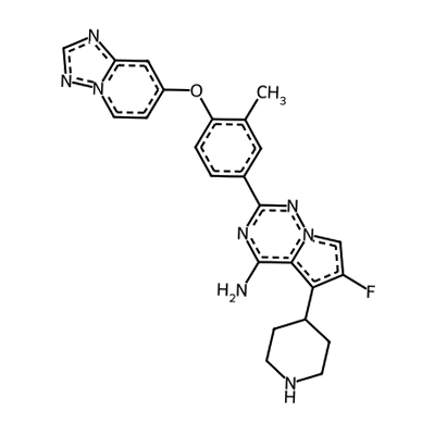 Cc1cc(-c2nc(N)c3c(C4CCNCC4)c(F)cn3n2)ccc1Oc1ccn2ncnc2c1